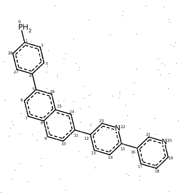 Pc1ccc(-c2ccc3ccc(-c4ccc(-c5cccnc5)nc4)cc3c2)cc1